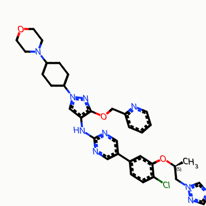 C[C@@H](Cn1cncn1)Oc1cc(-c2cnc(Nc3cn(C4CCC(N5CCOCC5)CC4)nc3OCc3ccccn3)nc2)ccc1Cl